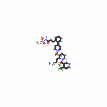 CCCC1[C@H](C(=O)N2CCC(c3ccccc3CCC(=O)NS(C)(=O)=O)CC2)CCCN1C(=O)c1cnccc1C(F)(F)F